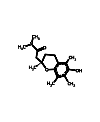 Cc1c(C)c2c(c(C)c1O)CC[C@](C)(CC(=O)N(C)C)O2